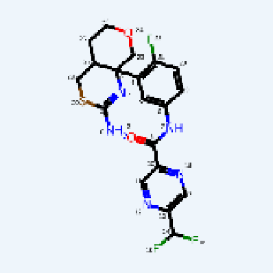 NC1=NC2(c3cc(NC(=O)c4cnc(C(F)F)cn4)ccc3F)COCCC2CS1